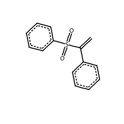 C=C(c1ccccc1)S(=O)(=O)c1ccccc1